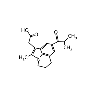 Cc1c(CC(=O)O)c2cc(C(=O)C(C)C)cc3c2n1CCC3